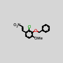 COc1ccc(/C=C/[N+](=O)[O-])c(Cl)c1OCc1ccccc1